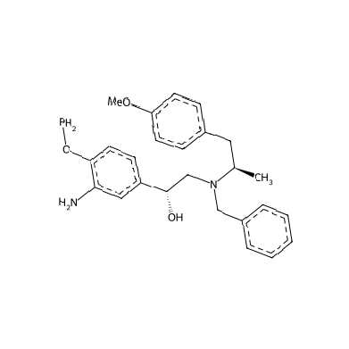 COc1ccc(C[C@@H](C)N(Cc2ccccc2)C[C@H](O)c2ccc(OP)c(N)c2)cc1